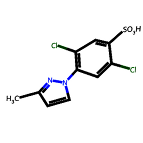 Cc1ccn(-c2cc(Cl)c(S(=O)(=O)O)cc2Cl)n1